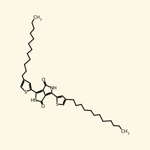 CCCCCCCCCCCCc1csc(C2=C3C(=O)NC(c4cc(CCCCCCCCCCCC)cs4)=C3C(=O)N2)c1